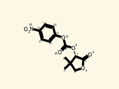 CC1(C)COC(=O)[C@H]1OC(=O)Oc1ccc([N+](=O)[O-])cc1